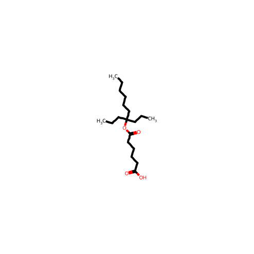 CCCCCCC(CCC)(CCC)OC(=O)CCCCC(=O)O